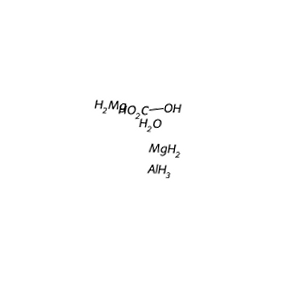 O.O=C(O)O.[AlH3].[MgH2].[MgH2]